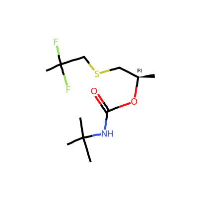 C[C@H](CSCC(C)(F)F)OC(=O)NC(C)(C)C